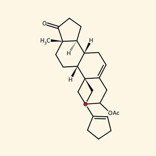 CC(=O)OC1CC[C@@]2(COC3=CCCC3)C(=CC[C@@H]3[C@H]2CC[C@]2(C)C(=O)CC[C@@H]32)C1